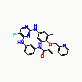 C=CC(=O)Nc1cccc(Nc2nc(Nc3ccc(OCc4ccccn4)c(C)c3)ncc2F)c1